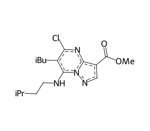 CCC(C)c1c(Cl)nc2c(C(=O)OC)cnn2c1NCCC(C)C